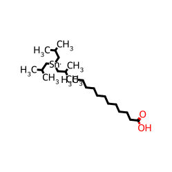 CC(C)[CH2][Sn]([CH2]C(C)C)[CH2]C(C)C.CCCCCCCCCCCC(=O)O